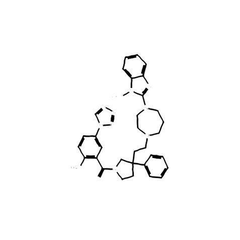 CCCCCn1c(N2CCCN(CCC3(c4ccccc4)CCN(C(=O)c4cc(-n5cnnn5)ccc4OC)C3)CC2)nc2ccccc21